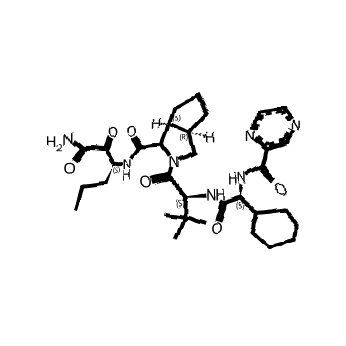 CCC[C@H](NC(=O)C1[C@H]2CCC[C@H]2CN1C(=O)[C@@H](NC(=O)[C@@H](NC(=O)c1cnccn1)C1CCCCC1)C(C)(C)C)C(=O)C(N)=O